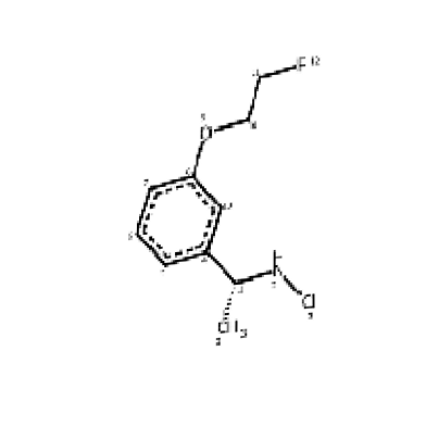 C[C@@H](NCl)c1cccc(OCCF)c1